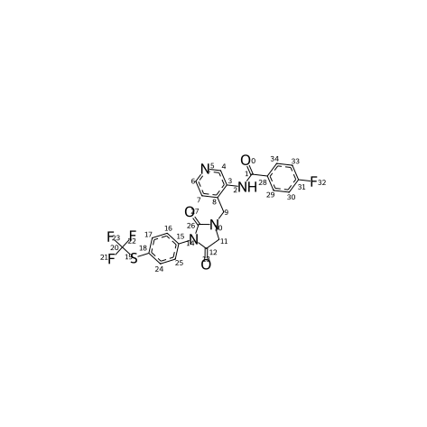 O=C(Nc1cnccc1CN1CC(=O)N(c2ccc(SC(F)(F)F)cc2)C1=O)c1ccc(F)cc1